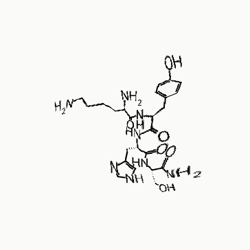 NCCCC[C@@H](N)C(=O)N[C@@H](Cc1ccc(O)cc1)C(=O)N[C@@H](Cc1c[nH]cn1)C(=O)N[C@@H](CO)C(N)=O